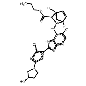 CCCNC(=O)[C@@H]1[C@H](Nc2c(Cl)cnc3nc(-c4sc(N5CC[C@@H](O)C5)nc4Cl)[nH]c23)[C@H]2C=C[C@@H]1C2